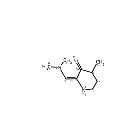 CC1CCN/C(=C/N(C)C)C1=O